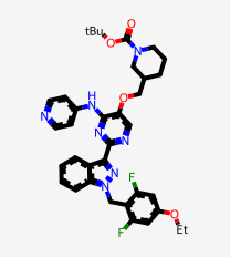 CCOc1cc(F)c(Cn2nc(-c3ncc(OCC4CCCN(C(=O)OC(C)(C)C)C4)c(Nc4ccncc4)n3)c3ccccc32)c(F)c1